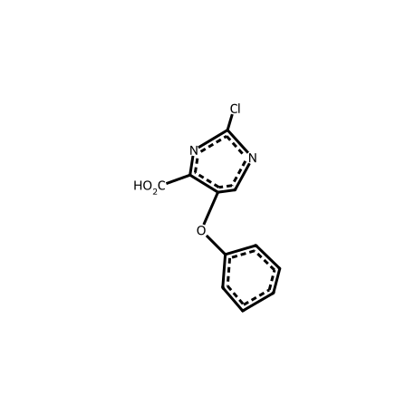 O=C(O)c1nc(Cl)ncc1Oc1ccccc1